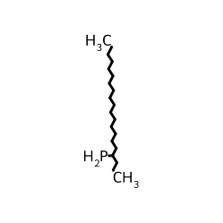 CCCCCCCCCCCCCCCCC(P)CCC